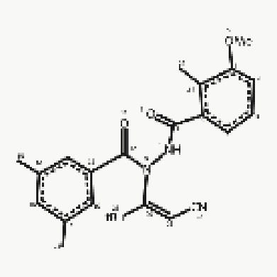 COc1cccc(C(=O)NN(C(=O)c2cc(C)cc(C)c2)/C(=C\C#N)C(C)(C)C)c1C